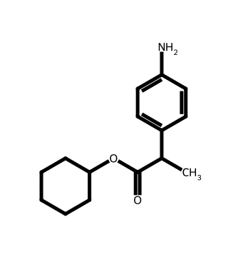 CC(C(=O)OC1CCCCC1)c1ccc(N)cc1